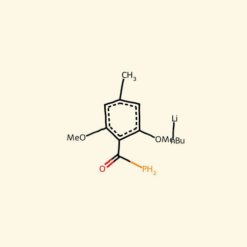 COc1cc(C)cc(OC)c1C(=O)P.[Li][CH2]CCC